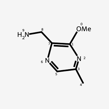 COc1nc(C)cnc1CN